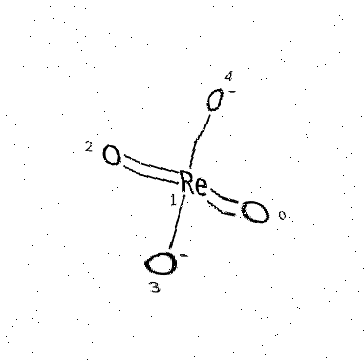 [O]=[Re](=[O])([O-])[O-]